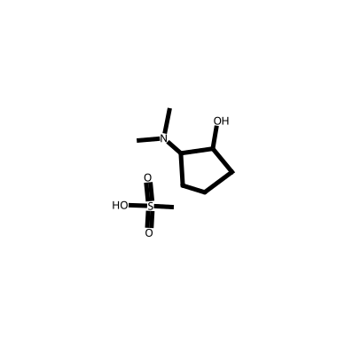 CN(C)C1CCCC1O.CS(=O)(=O)O